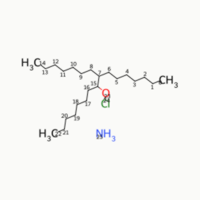 CCCCCCCC(CCCCCCC)C(CCCCCCC)OCl.N